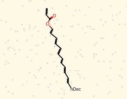 C=CC(=O)OC=CC=CC=CC=CC=CC=CCCCCCCCCCC